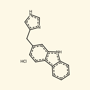 Cl.c1ccc2c(c1)[nH]c1cc(Cc3c[nH]cn3)ccc12